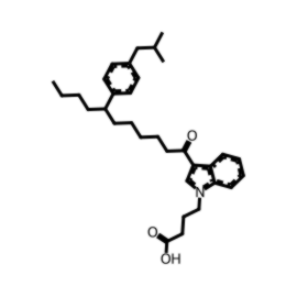 CCCCC(CCCCCC(=O)c1cn(CCCC(=O)O)c2ccccc12)c1ccc(CC(C)C)cc1